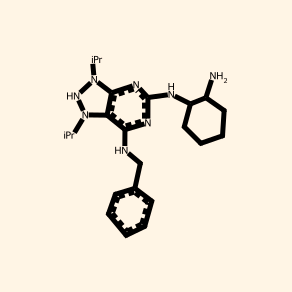 CC(C)N1NN(C(C)C)c2c(NCc3ccccc3)nc(NC3CCCCC3N)nc21